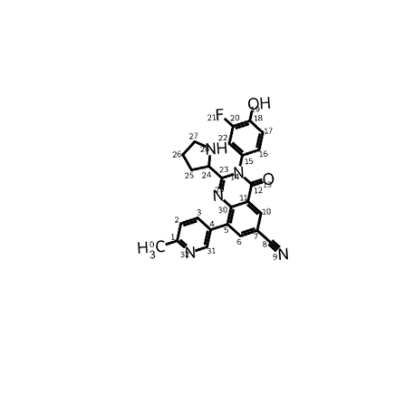 Cc1ccc(-c2cc(C#N)cc3c(=O)n(-c4ccc(O)c(F)c4)c(C4CCCN4)nc23)cn1